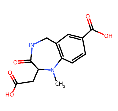 CN1c2ccc(C(=O)O)cc2CNC(=O)C1CC(=O)O